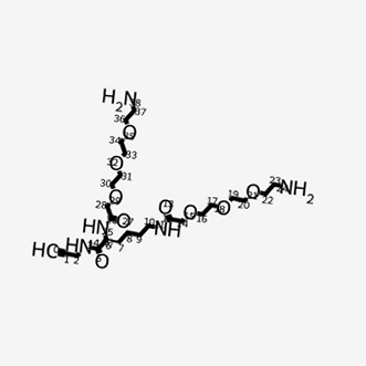 C#CCNC(=O)[C@H](CCCCNC(=O)COCCOCCOCCN)NC(=O)COCCOCCOCCN